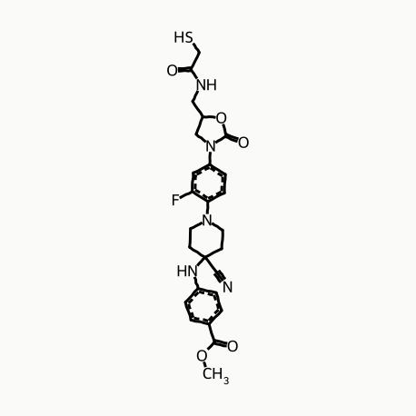 COC(=O)c1ccc(NC2(C#N)CCN(c3ccc(N4CC(CNC(=O)CS)OC4=O)cc3F)CC2)cc1